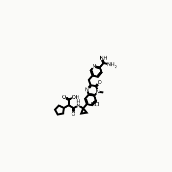 Cl.Cn1c(=O)c(Cc2ccc(C(=N)N)nc2)nc2cc(C3(NC(=O)C(C(=O)O)C4CCCC4)CC3)ccc21